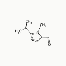 CN(C)c1ncc(C=O)n1C